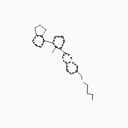 O=CCCCNCc1ccc2nc(-c3cccc(-c4cccc5c4CCC5)c3Cl)nn2c1